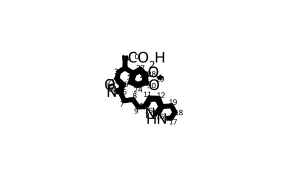 O=C(O)CC(Cc1cc(CCCc2ccc3c(n2)NCCC3)no1)c1ccc2c(c1)OCO2